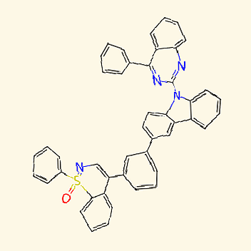 O=S1(c2ccccc2)=NC=C(c2cccc(-c3ccc4c(c3)c3ccccc3n4-c3nc(-c4ccccc4)c4ccccc4n3)c2)c2ccccc21